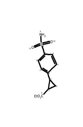 CCOC(=O)C1CC1c1ccc(S(N)(=O)=O)cc1